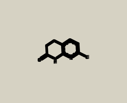 O=C1CCc2ccc(Cl)nc2N1